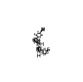 Cc1cc(C#N)ccc1-c1cnnc(NCc2cc(-c3cccc(F)c3)[nH]n2)n1